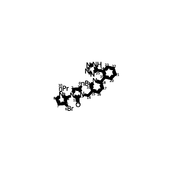 CCCCc1cn(-c2c(Br)ccn2CCC)c(=O)n1Cc1ccc(-c2ccccc2-c2nnn[nH]2)nc1